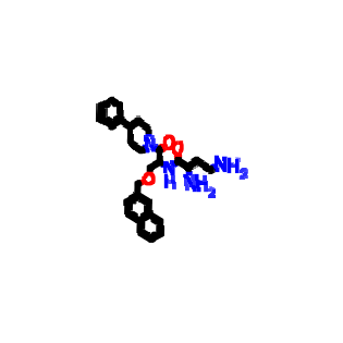 NCCC(N)C(=O)NC(COCc1ccc2ccccc2c1)C(=O)N1CCC(c2ccccc2)CC1